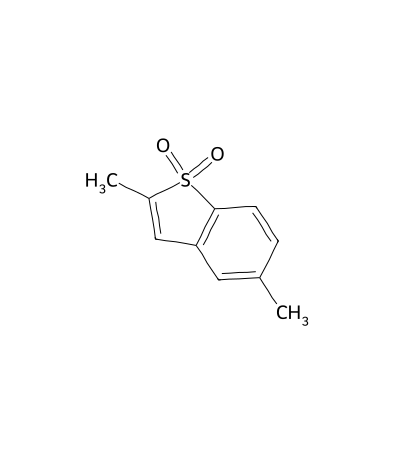 CC1=Cc2cc(C)ccc2S1(=O)=O